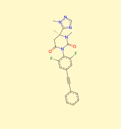 CN1C(=O)N(c2c(F)cc(C#Cc3ccccc3)cc2F)C(=O)C[C@@]1(C)c1ncnn1C